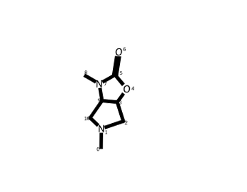 CN1CC2OC(=O)N(C)C2C1